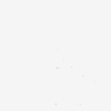 O=C(O)CC(O)(CC(=O)O)C(=O)O.O=CC(O)C(O)C(O)C(O)CO.O=CC(O)C(O)C(O)C(O)CO